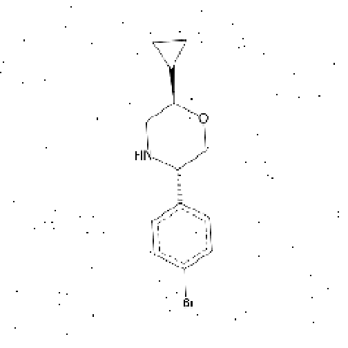 Brc1ccc([C@H]2CO[C@H](C3CC3)CN2)cc1